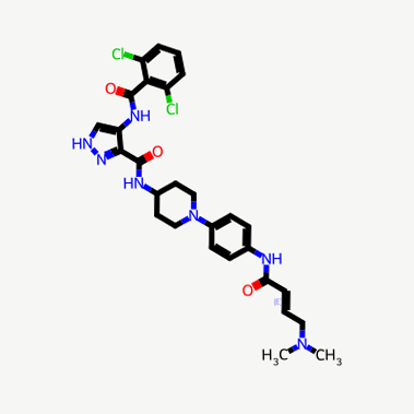 CN(C)C/C=C/C(=O)Nc1ccc(N2CCC(NC(=O)c3n[nH]cc3NC(=O)c3c(Cl)cccc3Cl)CC2)cc1